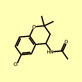 CC(=O)NC1CC(C)(C)Oc2ccc(Cl)cc21